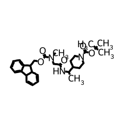 CC(NC(=O)CN(C)C(=O)OCC1c2ccccc2C2C=CC=CC21)C1CCN(C(=O)OC(C)(C)C)CC1